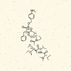 CC[C@H](C)[C@@H]([C@@H](CC(=O)N1CCC[C@H]1[C@H](OC)[C@@H](C)C(=O)N[C@@H](Cc1ccccc1)C(=O)NOCc1ccc(N)cc1)OC)N(C)C(=O)[C@@H](NC(=O)[C@H](C(C)C)N(C)C)C(C)C